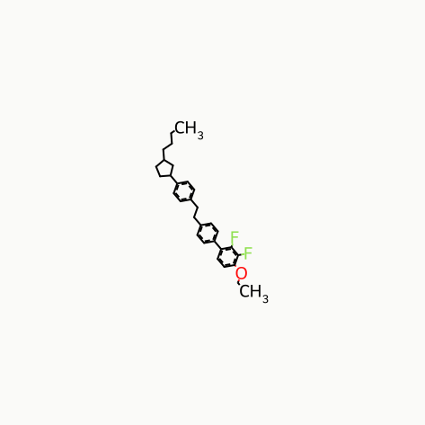 CCCCC1CCC(c2ccc(CCc3ccc(-c4ccc(OCC)c(F)c4F)cc3)cc2)C1